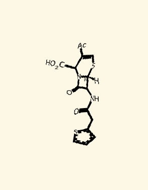 CC(=O)C1=CS[C@@H]2C(NC(=O)Cc3cccs3)C(=O)N2C1C(=O)O